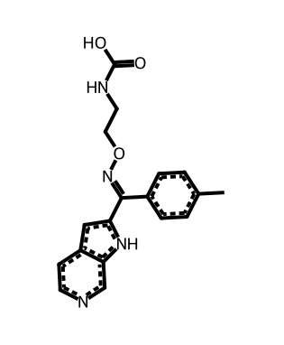 Cc1ccc(C(=NOCCNC(=O)O)c2cc3ccncc3[nH]2)cc1